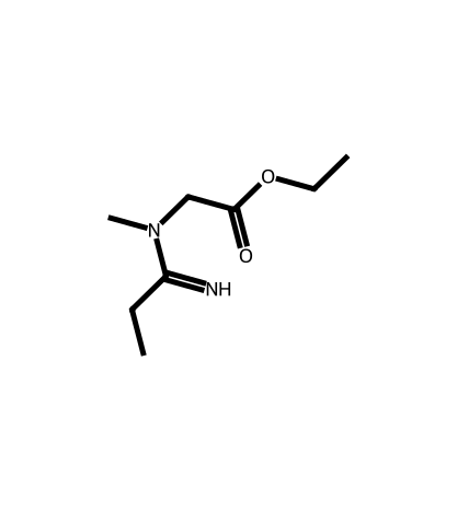 CCOC(=O)CN(C)C(=N)CC